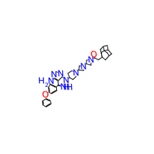 N=C(c1ccc(Oc2ccccc2)cc1)c1c(N)ncnc1NC1CCN(C2CN(C3CN(C(=O)CC45CC6CC7CC(C4)C7(C6)C5)C3)C2)CC1